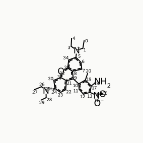 CCN(CC)c1ccc2c(-c3ccc([N+](=O)[O-])c(N)c3C)c3ccc(=[N+](CC)CC)cc-3oc2c1